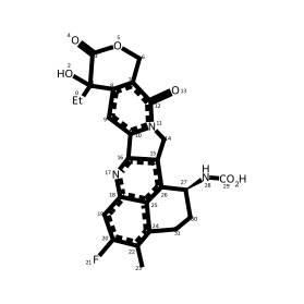 CCC1(O)C(=O)OCc2c1cc1n(c2=O)Cc2c-1nc1cc(F)c(C)c3c1c2[C@@H](NC(=O)O)CC3